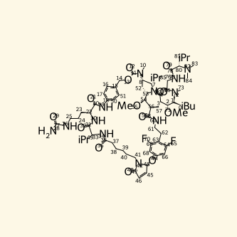 CC[C@H](C)[C@@H]([C@@H](CC(=O)N1C[C@@H](N(C)C(=O)OCc2ccc(NC(=O)[C@H](CCCNC(N)=O)NC(=O)[C@@H](NC(=O)CCCCCN3C(=O)C=CC3=O)C(C)C)cc2)C[C@H]1[C@H](OC)[C@@H](C)C(=O)NCCc1c(F)cccc1F)OC)N(C)C(=O)[C@@H](NC(=O)[C@H](C(C)C)N(C)C)C(C)C